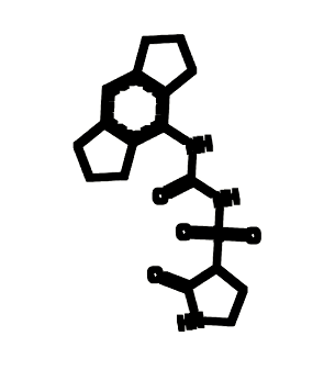 O=C(Nc1c2c(cc3c1CCC3)CCC2)NS(=O)(=O)C1CCNC1=O